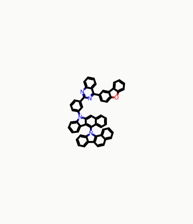 c1cc(-c2nc(-c3ccc4oc5ccccc5c4c3)c3ccccc3n2)cc(-n2c3ccccc3c3c(-n4c5ccccc5c5ccc6ccccc6c54)c4ccccc4cc32)c1